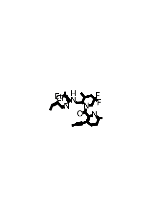 CC#Cc1ccc(C)nc1C(=O)N1CC(F)(F)CC(C)C1CNC(/N=C\C(=C/C)C(F)(F)F)=C(\C)CC